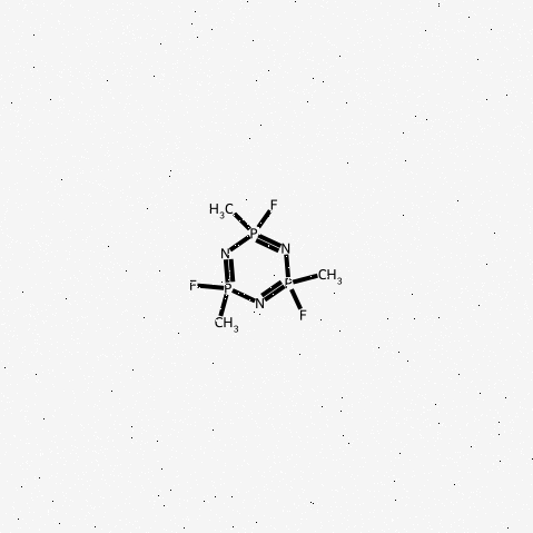 CP1(F)=NP(C)(F)=NP(C)(F)=N1